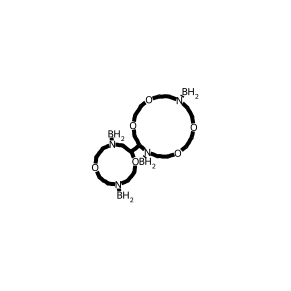 BN1CCOCCOCCN(B)C(C2CN(B)CCOCCN(B)CCO2)COCCOCC1